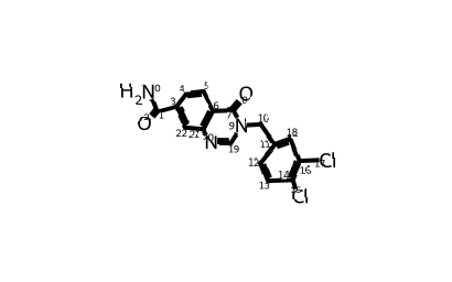 NC(=O)c1ccc2c(=O)n(Cc3ccc(Cl)c(Cl)c3)cnc2c1